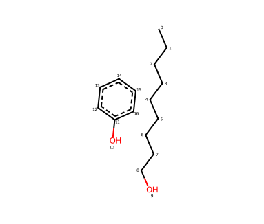 CCCCCCCCCO.Oc1ccccc1